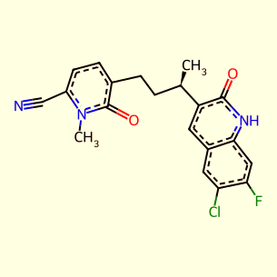 C[C@H](CCc1ccc(C#N)n(C)c1=O)c1cc2cc(Cl)c(F)cc2[nH]c1=O